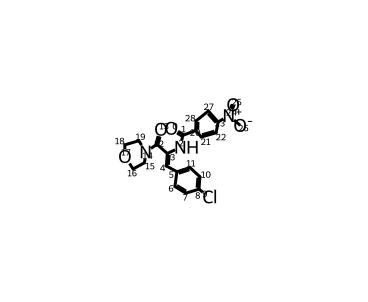 O=C(NC(=Cc1ccc(Cl)cc1)C(=O)N1CCOCC1)c1ccc([N+](=O)[O-])cc1